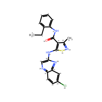 CCc1ccccc1NC(=O)c1c(C)nsc1Nc1cnc2ccc(Cl)cc2n1